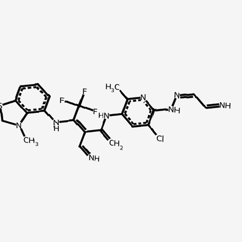 C=C(Nc1cc(Cl)c(N/N=C\C=N)nc1C)/C(C=N)=C(/Nc1cccc2c1N(C)CS2)C(F)(F)F